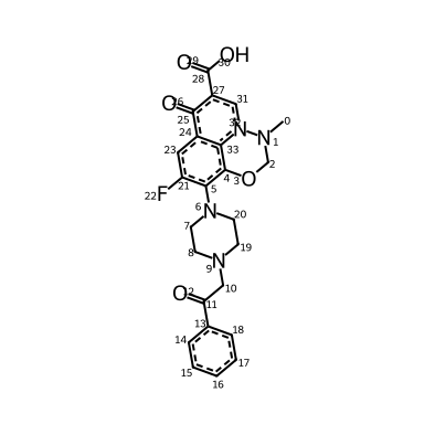 CN1COc2c(N3CCN(CC(=O)c4ccccc4)CC3)c(F)cc3c(=O)c(C(=O)O)cn1c23